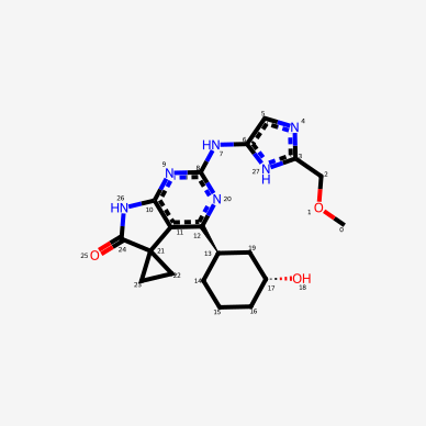 COCc1ncc(Nc2nc3c(c([C@@H]4CCC[C@@H](O)C4)n2)C2(CC2)C(=O)N3)[nH]1